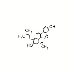 COc1cc(O)c(CC=C(C)C)cc1C1COc2cc(O)ccc2C1=O